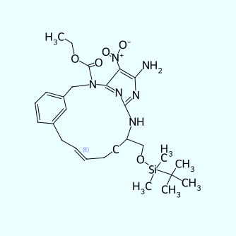 CCOC(=O)N1Cc2cccc(c2)C/C=C/CCC(CO[Si](C)(C)C(C)(C)C)Nc2nc(N)c([N+](=O)[O-])c1n2